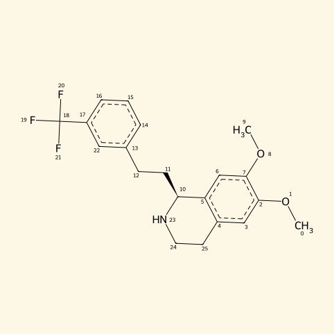 COc1cc2c(cc1OC)[C@H](CCc1cccc(C(F)(F)F)c1)NCC2